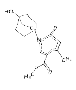 COC(=O)c1cn(C23CCC(O)(CC2)CC3)c(=O)cc1C